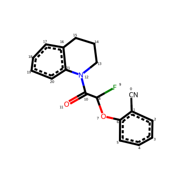 N#Cc1ccccc1OC(F)C(=O)N1CCCc2ccccc21